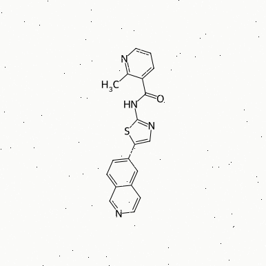 Cc1ncccc1C(=O)Nc1ncc(-c2ccc3cnccc3c2)s1